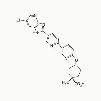 C[C@]1(C(=O)O)CC[C@H](Oc2ccc(-c3ccc(-c4nc5ncc(Cl)cc5[nH]4)cn3)cn2)CC1